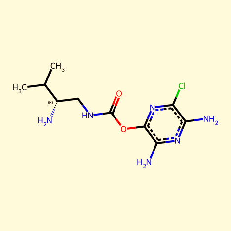 CC(C)[C@@H](N)CNC(=O)Oc1nc(Cl)c(N)nc1N